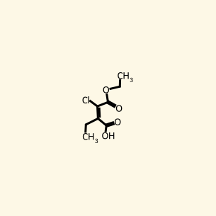 CCOC(=O)C(Cl)=C(CC)C(=O)O